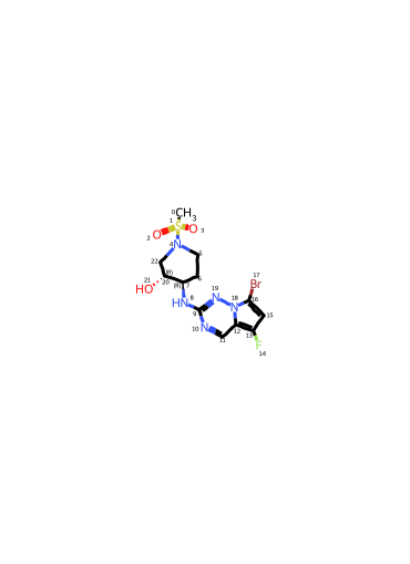 CS(=O)(=O)N1CC[C@@H](Nc2ncc3c(F)cc(Br)n3n2)[C@H](O)C1